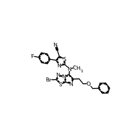 CN(c1nc(-c2ccc(F)cc2)c(C#N)s1)c1c(CCOCc2ccccc2)nc2sc(Br)nn12